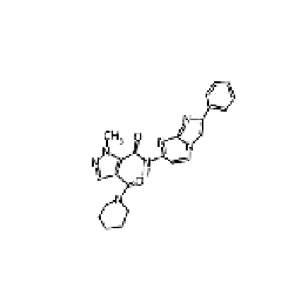 Cn1ncc(C(=O)N2CCCCC2)c1C(=O)Nc1ccn2cc(-c3ccccc3)nc2n1